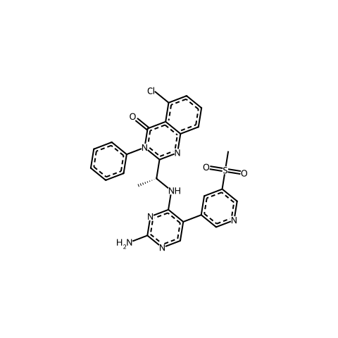 C[C@@H](Nc1nc(N)ncc1-c1cncc(S(C)(=O)=O)c1)c1nc2cccc(Cl)c2c(=O)n1-c1ccccc1